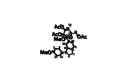 COc1ccc(C2CCc3ccc(C4(OC)O[C@H](COC(C)=O)[C@@H](C)[C@H](OC(C)=O)[C@H]4OC(C)=O)cc32)cc1